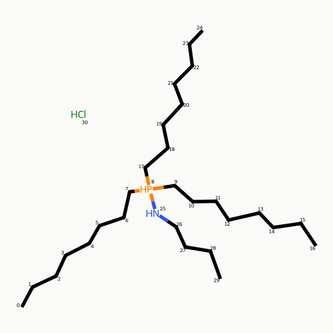 CCCCCCCC[PH](CCCCCCCC)(CCCCCCCC)NCCCC.Cl